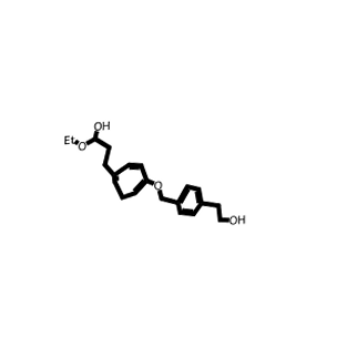 CCOC(O)CCC1=CCC=C(OCc2ccc(CCO)cc2)C=C1